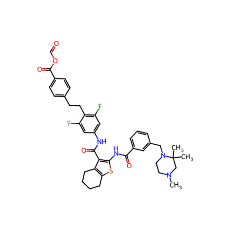 CN1CCN(Cc2cccc(C(=O)Nc3sc4c(c3C(=O)Nc3cc(F)c(CCc5ccc(C(=O)OC=O)cc5)c(F)c3)CCCC4)c2)C(C)(C)C1